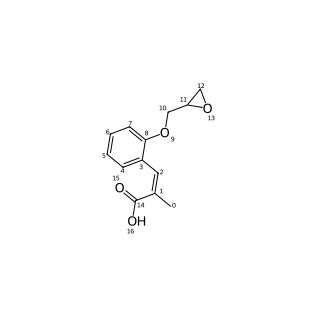 CC(=Cc1ccccc1OCC1CO1)C(=O)O